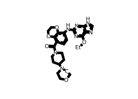 CCOc1nc(Nc2ccc(C(=O)N3CCC(N4CCOCC4)CC3)c3c2OCCO3)nc2[nH]cnc12